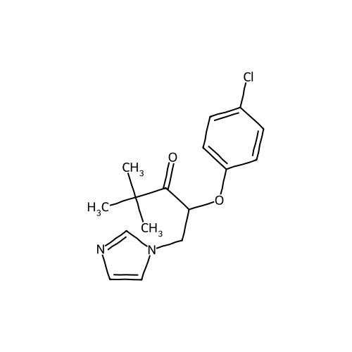 CC(C)(C)C(=O)C(Cn1ccnc1)Oc1ccc(Cl)cc1